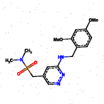 COc1ccc(CNc2cc(CS(=O)(=O)N(C)C)cnn2)c(OC)c1